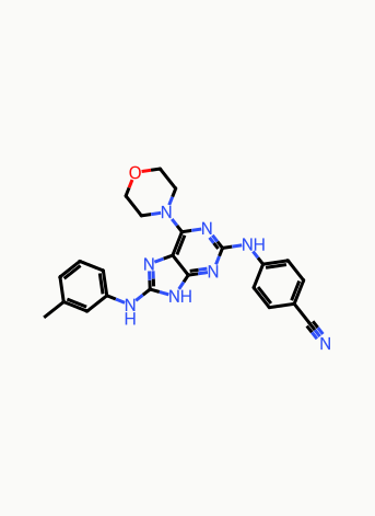 Cc1cccc(Nc2nc3c(N4CCOCC4)nc(Nc4ccc(C#N)cc4)nc3[nH]2)c1